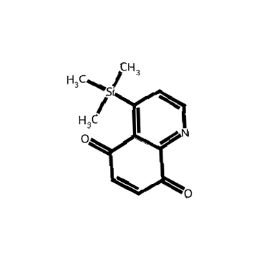 C[Si](C)(C)c1ccnc2c1C(=O)C=CC2=O